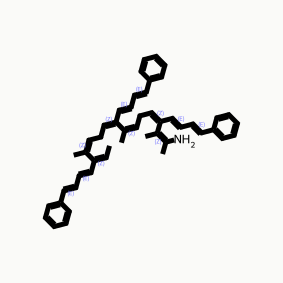 C/C=C(/C=C/C=C/c1ccccc1)C(\C)=C/C/C=C(/C=C/C=C/c1ccccc1)C(\C)=C/C/C=C(/C=C/C=C/c1ccccc1)C(\C)=C(\C)N